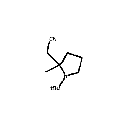 CC(C)(C)N1CCCC1(C)CC#N